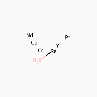 [BH2][Re].[Co].[Cr].[Nd].[Pt].[Y]